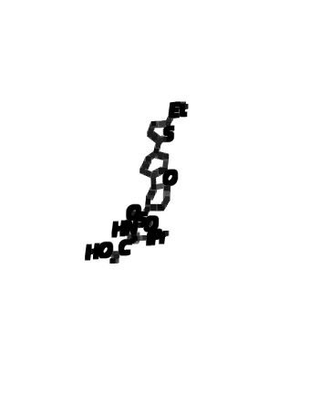 CCc1ccc(-c2ccc3c(c2)oc2ccc(S(=O)(=O)N[C@H](C(=O)O)C(C)C)cc23)s1